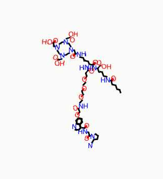 CCCCCC(=O)NCCCCC(NC(=O)C(CCCCNC(=O)CN1CCN(CC(=O)O)CCN(CC(=O)O)CCN(CC(=O)O)CC1)NC(=O)CCOCCOCCOCCNC(=O)COc1ccc2c(C(=O)NCC(=O)N3CCCC3C#N)ccnc2c1)C(=O)O